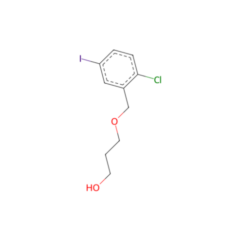 OCCCOCc1cc(I)ccc1Cl